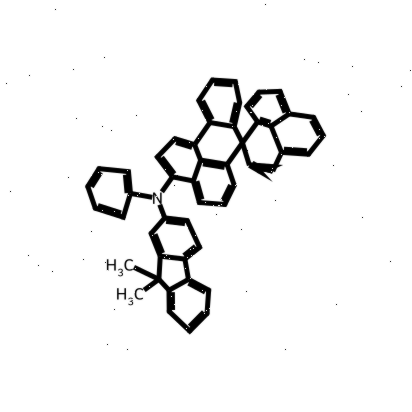 CC1(C)c2ccccc2-c2ccc(N(c3ccccc3)c3ccc4c5c(cccc35)C3(c5ccccc5-c5cccc6cccc3c56)c3ccccc3-4)cc21